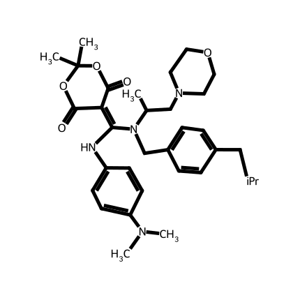 CC(C)Cc1ccc(CN(C(Nc2ccc(N(C)C)cc2)=C2C(=O)OC(C)(C)OC2=O)C(C)CN2CCOCC2)cc1